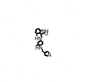 Cc1cc(N/C=C2/C(=O)Nc3cccc(C)c32)ccc1NCCc1ccncc1